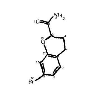 NC(=O)C1C[CH]c2ccc(Br)cc2O1